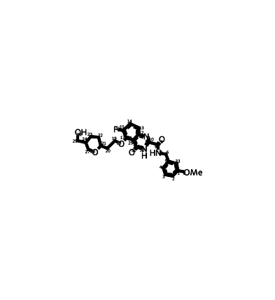 COc1cccc(CNC(=O)c2nc3ccc(F)c(OCCC4CCC(CO)CO4)c3c(=O)[nH]2)c1